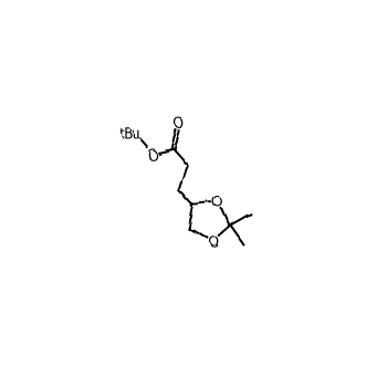 CC(C)(C)OC(=O)CCC1COC(C)(C)O1